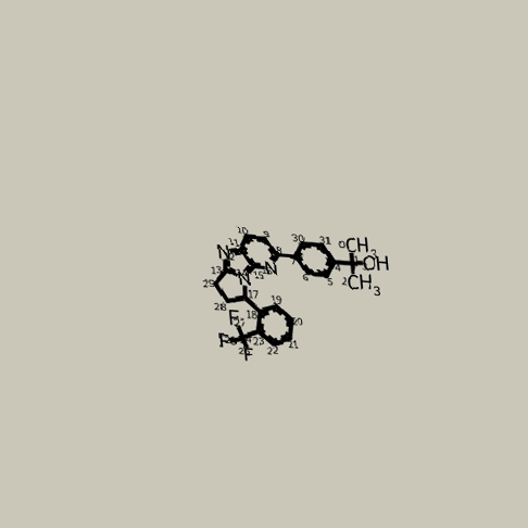 CC(C)(O)c1ccc(-c2ccc3nc4n(c3n2)C(c2ccccc2C(F)(F)F)CC4)cc1